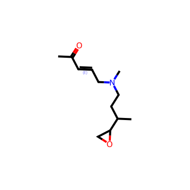 CC(=O)/C=C/CN(C)CCC(C)C1CO1